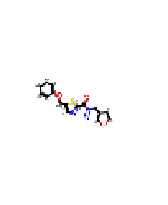 O=C(NCC1CCOC1)c1ncc(COC2=CCCC=C2)s1